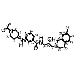 CC(=O)N1CCC(Nc2cc(C(=O)NC[C@H](O)CN3CCc4ccc(C)cc4C3)ccn2)CC1